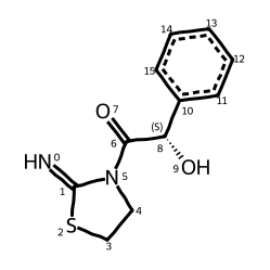 N=C1SCCN1C(=O)[C@@H](O)c1ccccc1